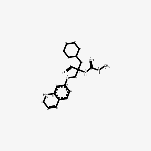 CNC(=N)NC(C=O)(COc1ccc2c(c1)NCC=C2)CC1CCCCC1